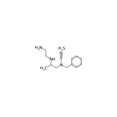 CC(CN(C#N)Cc1ccccc1)NCCN.S